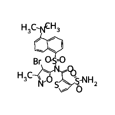 Cc1noc(N(C(=O)c2sccc2S(N)(=O)=O)S(=O)(=O)c2cccc3c(N(C)C)cccc23)c1Br